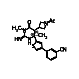 CC(=O)N1CC([C@@H]2C(=O)N(C)C(=N)N[C@]2(C)c2cc(-c3cccc(C#N)c3)cs2)C1